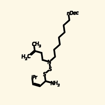 C=C(C)CCN(CCCCCCCCCCCCCCCCC)SSC(N)/C=C\C(C)C